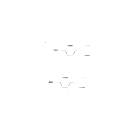 CCOc1cc(N2CCOCC2)c(OCC)cc1[N+]#N.CCOc1cc(N2CCOCC2)c(OCC)cc1[N+]#N.[O-]B([O-])F